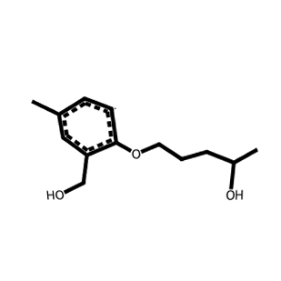 Cc1c[c]c(OCCCC(C)O)c(CO)c1